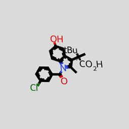 Cc1c([C@](C)(C(=O)O)C(C)(C)C)c2cc(O)ccc2n1C(=O)c1cccc(Cl)c1